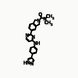 CN(C)C(=O)N1Cc2ccc(-c3nccc(Nc4ccc(-c5cn[nH]c5)cc4)n3)cc2C1